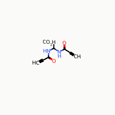 C#CC(=O)NC(NC(=O)C#C)C(=O)O